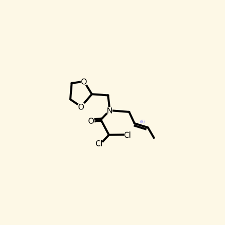 C/C=C/CN(CC1OCCO1)C(=O)C(Cl)Cl